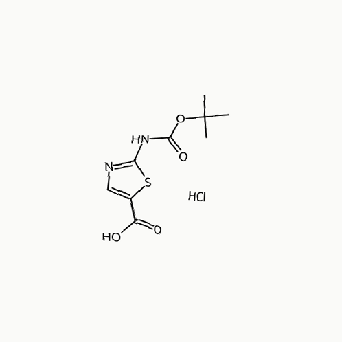 CC(C)(C)OC(=O)Nc1ncc(C(=O)O)s1.Cl